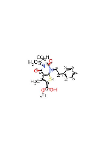 CCOC(O)c1sc2c(c1C)c(=O)n([C@H](C)C(=O)O)c(=O)n2CCc1ccccc1